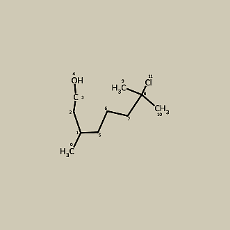 CC(CCO)CCCC(C)(C)Cl